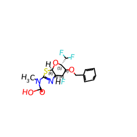 CN(C(=O)O)C1=N[C@@H]2[C@@H](F)[C@H](OCc3ccccc3)[C@@H](C(F)F)O[C@@H]2S1